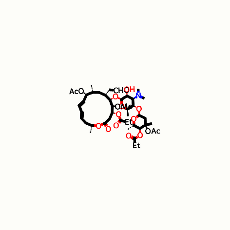 CCC(=O)O[C@@H]1CC(=O)O[C@H](C)C/C=C/C=C/[C@H](OC(C)=O)[C@H](C)C[C@H](CC=O)[C@H](O[C@@H]2O[C@H](C)[C@@H](O[C@H]3C[C@@](C)(OC(C)=O)[C@@H](OC(=O)CC)[C@H](C)O3)[C@H](N(C)C)[C@H]2O)[C@H]1OC